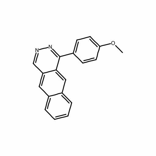 COc1ccc(-c2nncc3cc4ccccc4cc23)cc1